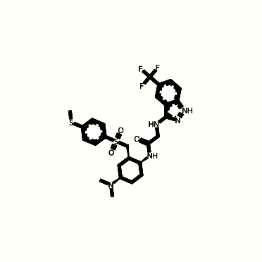 CSc1ccc(S(=O)(=O)C[C@@H]2C[C@H](N(C)C)CC[C@@H]2NC(=O)CNc2n[nH]c3ccc(C(F)(F)F)cc23)cc1